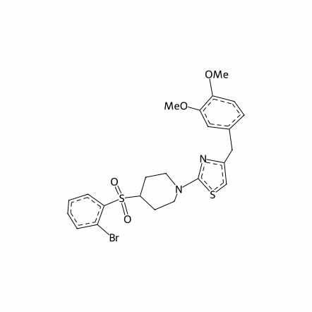 COc1ccc(Cc2csc(N3CCC(S(=O)(=O)c4ccccc4Br)CC3)n2)cc1OC